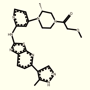 COCC(=O)N1CCN(c2ccnc(Nc3nc4ccc(-c5cn[nH]c5C)nc4s3)c2)[C@H](C)C1